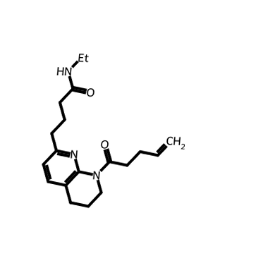 C=CCCC(=O)N1CCCc2ccc(CCCC(=O)NCC)nc21